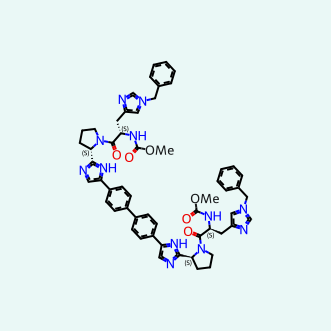 COC(=O)N[C@@H](Cc1cn(Cc2ccccc2)cn1)C(=O)N1CCC[C@H]1c1ncc(-c2ccc(-c3ccc(-c4cnc([C@@H]5CCCN5C(=O)[C@H](Cc5cn(Cc6ccccc6)cn5)NC(=O)OC)[nH]4)cc3)cc2)[nH]1